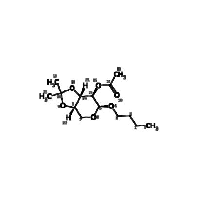 CCCCO[C@H]1OC[C@@H]2OC(C)(C)O[C@@H]2[C@H]1OC(C)=O